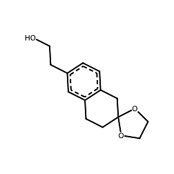 OCCc1ccc2c(c1)CCC1(C2)OCCO1